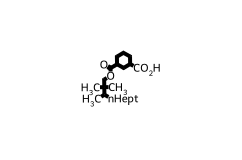 CCCCCCCC(C)C(C)(C)COC(=O)C1CCCC(C(=O)O)C1